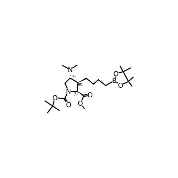 COC(=O)[C@@H]1[C@H](CCCCB2OC(C)(C)C(C)(C)O2)[C@@H](N(C)C)CN1C(=O)OC(C)(C)C